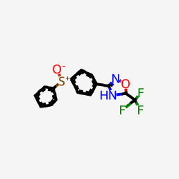 [O-][S+](c1ccccc1)c1ccc(C2=NOC(C(F)(F)F)N2)cc1